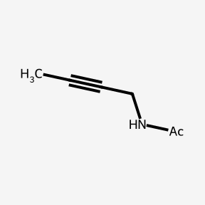 CC#CCNC(C)=O